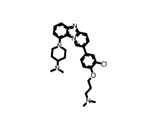 CN(C)CCCOc1ccc(-c2ccc3nc4cccc(N5CCC(N(C)C)CC5)c4n3c2)cc1Cl